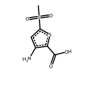 CS(=O)(=O)c1cc(N)c(C(=O)O)s1